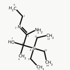 CCN=C(N)C(C)(O)[Si](CC)(CC)CC